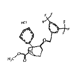 COC(=O)C1CC2(c3ccccc3)NC1CCC2OCc1cc(C(F)(F)F)cc(C(F)(F)F)c1.Cl